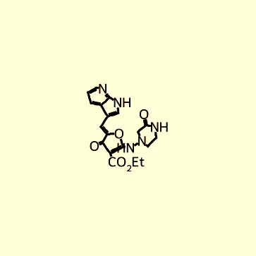 CCOC(=O)C1=C(NN2CCNC(=O)C2)O/C(=C\c2c[nH]c3ncccc23)C1=O